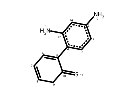 Nc1ccc(C2=CC=CCC2=S)c(N)c1